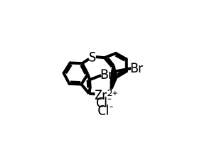 BrC1=C[CH]2[Zr+2][CH]3C=C(Br)c4c(cccc43)Sc3cccc2c31.[Cl-].[Cl-]